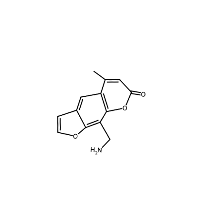 Cc1cc(=O)oc2c(CN)c3occc3cc12